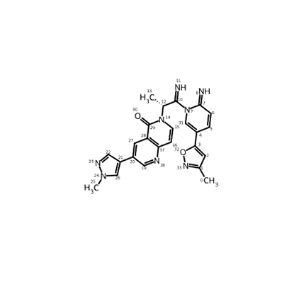 Cc1cc(-c2ccc(=N)n(C(=N)[C@@H](C)n3ccc4ncc(-c5cnn(C)c5)cc4c3=O)c2)on1